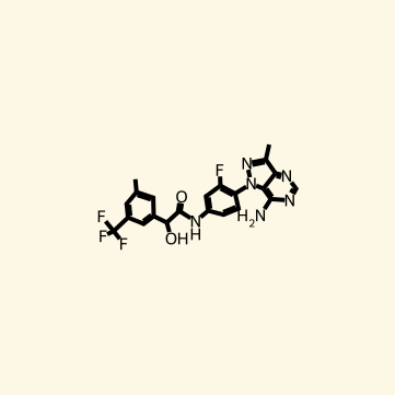 Cc1cc(C(O)C(=O)Nc2ccc(-n3nc(C)c4ncnc(N)c43)c(F)c2)cc(C(F)(F)F)c1